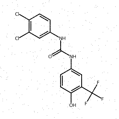 O=C(Nc1ccc(Cl)c(Cl)c1)Nc1ccc(O)c(C(F)(F)F)c1